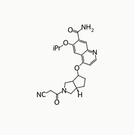 CC(C)Oc1cc2c(OC3CC[C@@H]4CN(C(=O)CC#N)CC34)ccnc2cc1C(N)=O